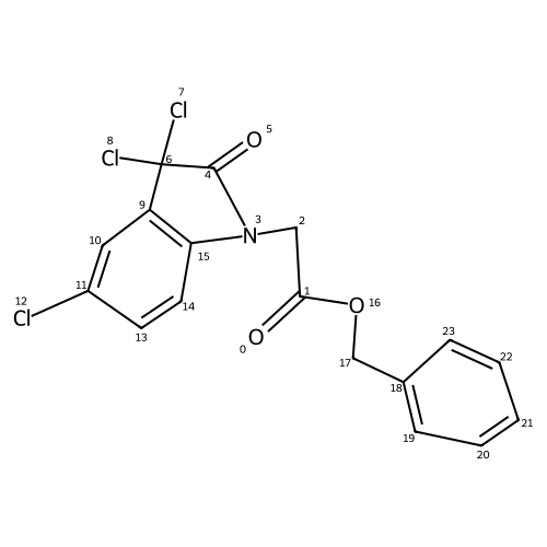 O=C(CN1C(=O)C(Cl)(Cl)c2cc(Cl)ccc21)OCc1ccccc1